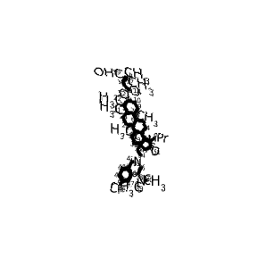 CC(C)C1=C2C3CCC4C5(C)CCC(OC(=O)CC(C)(C)C=O)C(C)(C)C5CCC4(C)C3(C)CCC2(CCN(CCN(C)C)Cc2ccc(Cl)cc2)CC1=O